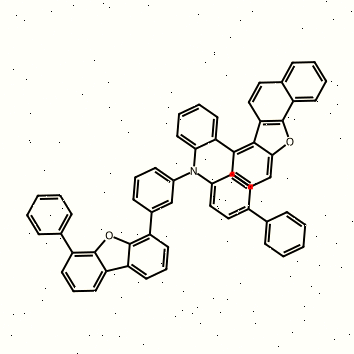 c1ccc(-c2ccc(N(c3cccc(-c4cccc5c4oc4c(-c6ccccc6)cccc45)c3)c3ccccc3-c3cccc4oc5c6ccccc6ccc5c34)cc2)cc1